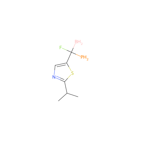 BC(F)(P)c1cnc(C(C)C)s1